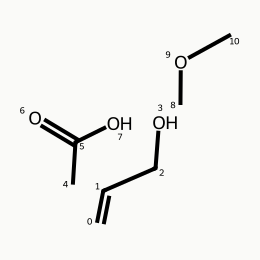 C=CCO.CC(=O)O.COC